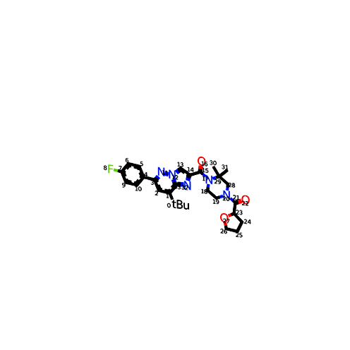 CC(C)(C)c1cc(-c2ccc(F)cc2)nn2cc(C(=O)N3CCN(C(=O)C4CCCO4)CC3(C)C)nc12